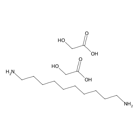 NCCCCCCCCCCN.O=C(O)CO.O=C(O)CO